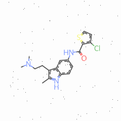 Cc1[nH]c2ccc(NC(=O)c3sccc3Cl)cc2c1CCN(C)C